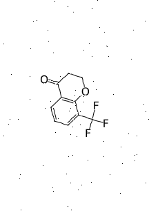 O=C1CCOc2c1cccc2C(F)(F)F